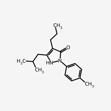 CCCc1c(CC(C)C)[nH]n(-c2ccc(C)cc2)c1=O